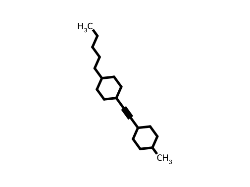 CCCCCC1CCC(C#CC2CCC(C)CC2)CC1